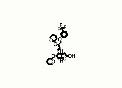 OC1C[C@@H]2[C@@H](C=C[C@H](COc3cccc(C(F)(F)F)c3)OC3CCCCO3)[C@H](OC3CCCCO3)C[C@@H]2O1